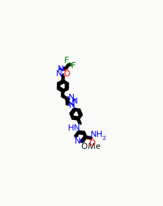 COc1ncc(NCc2ccc(-n3cc(Cc4ccc(-c5nnc(C(F)F)o5)cc4)nn3)cc2)cc1C(N)=O